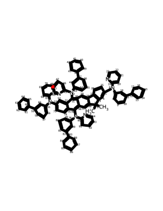 CC1(C)c2cc(N(c3cccc(-c4ccccc4)c3)c3ccccn3)ccc2-c2cc3c(N(c4cccc(-c5ccccc5)c4)c4ccccn4)c4cc(N(c5cccc(-c6ccccc6)c5)c5ccccn5)ccc4c(N(c4cccc(-c5ccccc5)c4)c4ccccn4)c3cc21